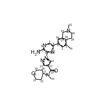 Cc1cc(-c2cnc(N)c(-n3cc(C(=O)N(C)C4CCOCC4)cn3)n2)cc2c1CCN(C)C2